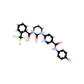 O=C(Nc1ccc(Cl)cc1)c1ccc(N2CCCN(C(=O)c3ccccc3C(F)(F)F)C2=O)nc1